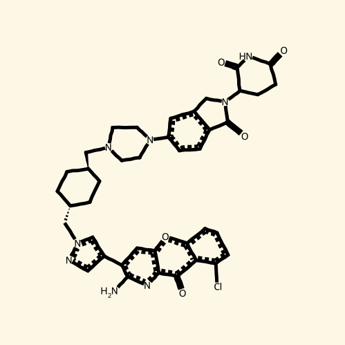 Nc1nc2c(=O)c3c(Cl)cccc3oc2cc1-c1cnn(C[C@H]2CC[C@H](CN3CCN(c4ccc5c(c4)CN(C4CCC(=O)NC4=O)C5=O)CC3)CC2)c1